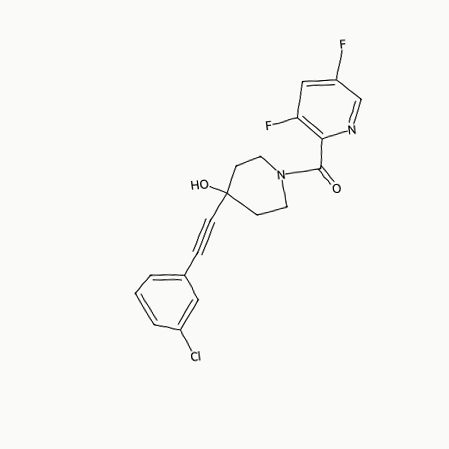 O=C(c1ncc(F)cc1F)N1CCC(O)(C#Cc2cccc(Cl)c2)CC1